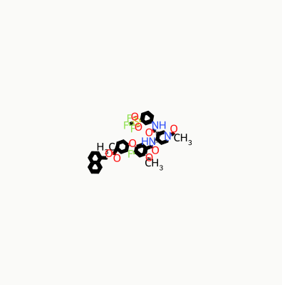 COc1cc(F)c(OC2CCC(C)(C(=O)OCc3cccc4ccccc34)CC2)cc1C(=O)N[C@H]1CCN(C(C)=O)C[C@H]1C(=O)Nc1cccc(S(=O)(=O)C(F)(F)F)c1